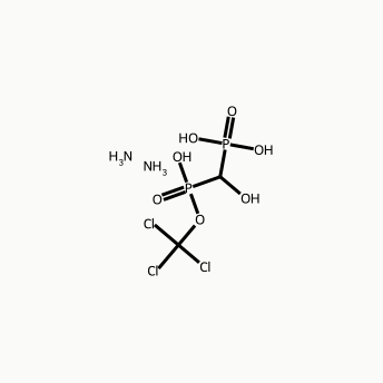 N.N.O=P(O)(O)C(O)P(=O)(O)OC(Cl)(Cl)Cl